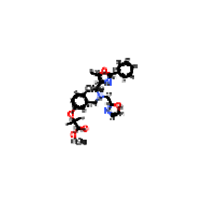 COc1ccc(OC(C)(C)C(=O)OC(C)(C)C)cc1CN(Cc1ncco1)Cc1nc(-c2ccccc2)oc1C